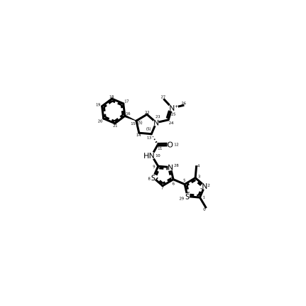 Cc1nc(C)c(-c2csc(NC(=O)[C@@H]3C[C@@H](c4ccccc4)CN3C=[N+](C)C)n2)s1